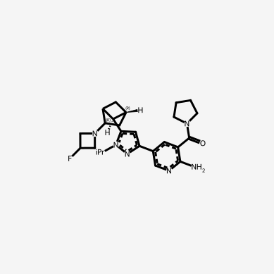 CC(C)n1nc(-c2cnc(N)c(C(=O)N3CCCC3)c2)cc1[C@H]1C2C[C@@H]1CC2N1CC(F)C1